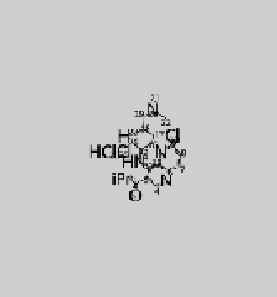 CC(C)C(=O)c1cnc2ccc(Cl)nc2c1NC1CCC(CN(C)C)CC1.Cl.Cl